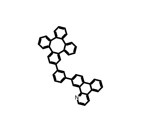 c1cc(-c2ccc3c(c2)-c2ccccc2-c2ccccc2-c2ccccc2-3)cc(-c2ccc3c4ccccc4c4cccnc4c3c2)c1